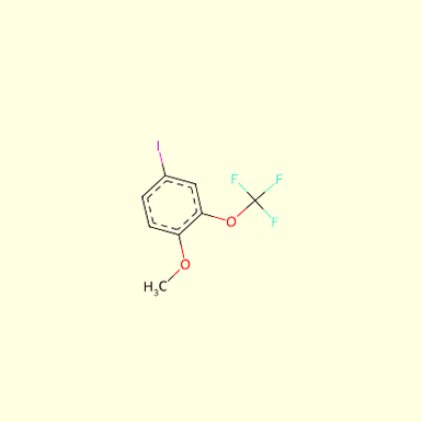 COc1ccc(I)cc1OC(F)(F)F